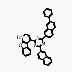 C1=C(c2nc(-c3ccc4ccccc4c3)nc(-c3ccc4ccc(-c5ccccc5)cc4c3)n2)c2c(oc3ccccc23)NC1